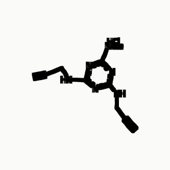 C#CCNc1nc(NC)nc(NCC#C)n1.Cl